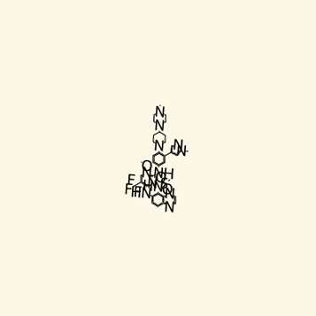 COc1cc(N2CCC(N3CCN(C)CC3)CC2)c(-c2cnn(C)c2)cc1Nc1ncc(C(F)(F)F)c(Nc2ccc3nccnc3c2NS(C)(=O)=O)n1